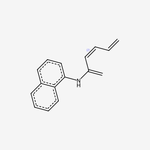 C=C/C=C\C(=C)Nc1cccc2ccccc12